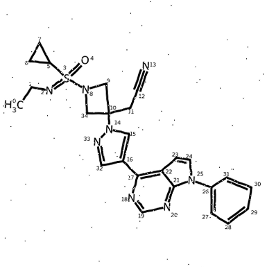 CCN=S(=O)(C1CC1)N1CC(CC#N)(n2cc(-c3ncnc4c3ccn4-c3ccccc3)cn2)C1